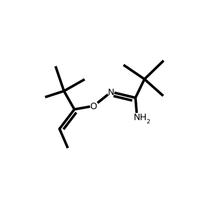 C/C=C(\O/N=C(\N)C(C)(C)C)C(C)(C)C